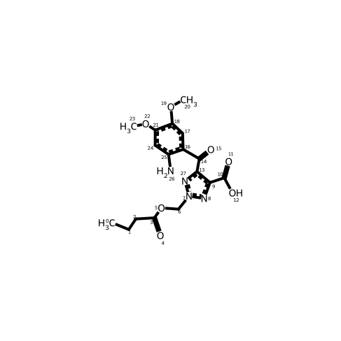 CCCC(=O)OCn1nc(C(=O)O)c(C(=O)c2cc(OC)c(OC)cc2N)n1